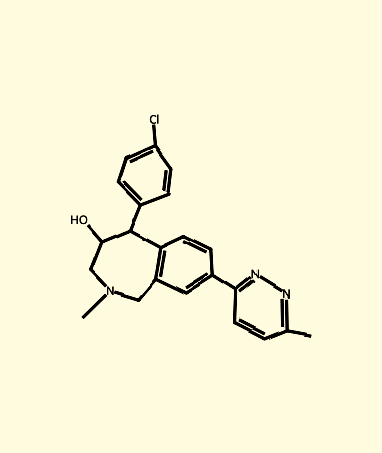 Cc1ccc(-c2ccc3c(c2)CN(C)CC(O)C3c2ccc(Cl)cc2)nn1